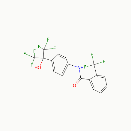 O=C(Nc1ccc(C(O)(C(F)(F)F)C(F)(F)F)cc1)c1ccccc1C(F)(F)F